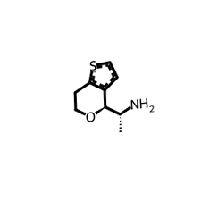 C[C@@H](N)[C@H]1OCCc2sccc21